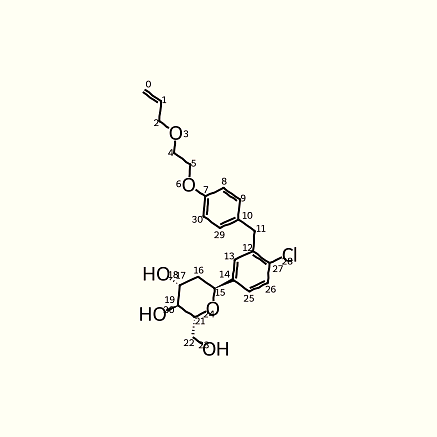 C=CCOCCOc1ccc(Cc2cc([C@@H]3C[C@@H](O)[C@H](O)[C@@H](CO)O3)ccc2Cl)cc1